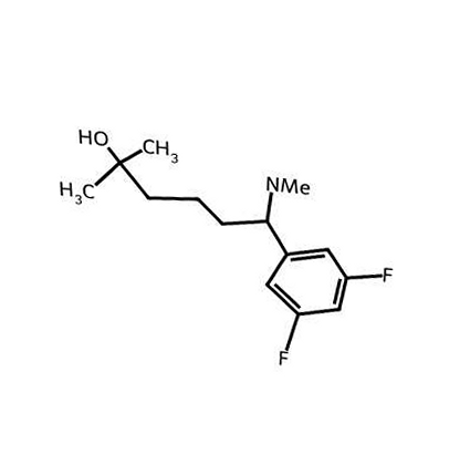 CNC(CCCC(C)(C)O)c1cc(F)cc(F)c1